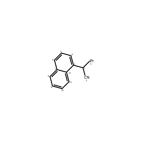 CC(C)C(C#N)c1cccc2ccccc12